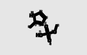 COS(=O)(=O)O.Cc1ncc[nH]1